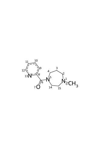 CN1CCCN(C(=O)c2ccccn2)CC1